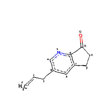 C=CCc1cnc2c(c1)CCC2=O